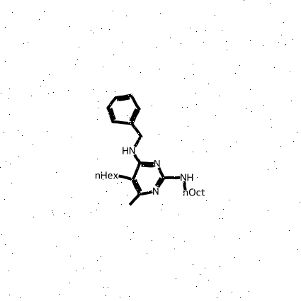 CCCCCCCCNc1nc(C)c(CCCCCC)c(NCc2ccccc2)n1